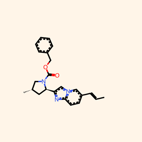 C/C=C/c1ccc2nc([C@H]3C[C@H](C)CN3C(=O)OCc3ccccc3)cn2c1